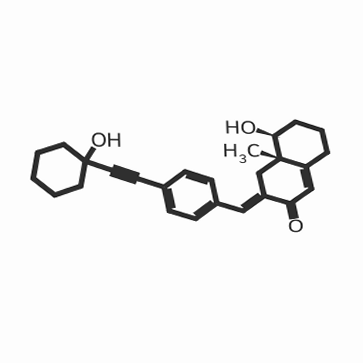 C[C@]12C/C(=C\c3ccc(C#CC4(O)CCCCC4)cc3)C(=O)C=C1CCC[C@@H]2O